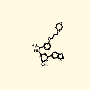 Cc1nc(NC(C)c2cccc(OCCCN3CCOCC3)c2)cc(-c2ccc3ncsc3c2)n1